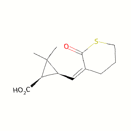 CC1(C)[C@H](C(=O)O)[C@@H]1C=C1CCCSC1=O